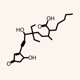 CCCCCC(C(=O)O)C(C)CCC(CC)(CC)C(O)C#CC1=CC(=O)CC1O